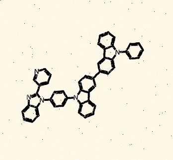 c1ccc(-n2c3ccccc3c3cc(-c4ccc5c(c4)c4ccccc4n5-c4ccc(-n5c(-c6cccnc6)nc6ccccc65)cc4)ccc32)cc1